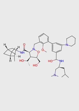 COc1c(CN2O[C@@H](CO)[C@@H]([C@H](C)O)[C@H]2C(=O)N[C@H]2C[C@H]3C[C@@H]([C@@H]2C)C3(C)C)cccc1-c1cc(C(O)N[C@@H](CC(C)C)CN(C)C)cc(N2CCCCC2)c1